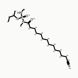 CCC(C)SP(=O)(NC)N(C)C(=O)CCCCCCCCCCCCC#N